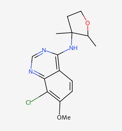 COc1ccc2c(NC3(C)CCOC3C)ncnc2c1Cl